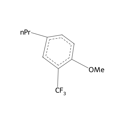 CCCc1ccc(OC)c(C(F)(F)F)c1